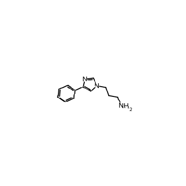 NCCCn1cnc(-c2ccccc2)c1